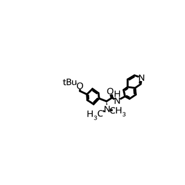 CN(C)[C@@H](C(=O)Nc1ccc2cnccc2c1)c1ccc(COC(C)(C)C)cc1